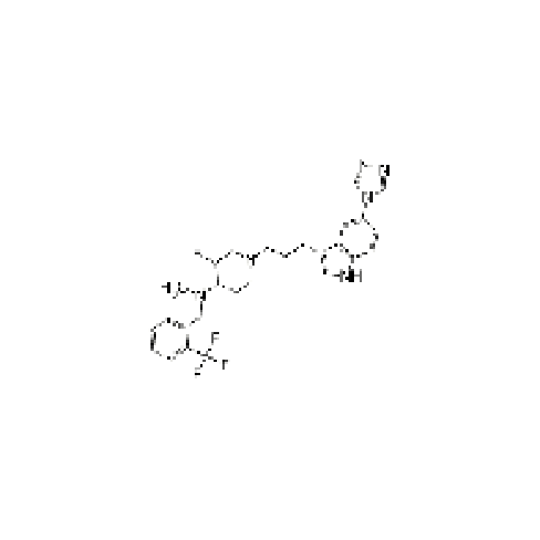 CN(Cc1ccccc1C(F)(F)F)C1CCN(CCCc2c[nH]c3ccc(-n4cnnc4)cc23)CC1F